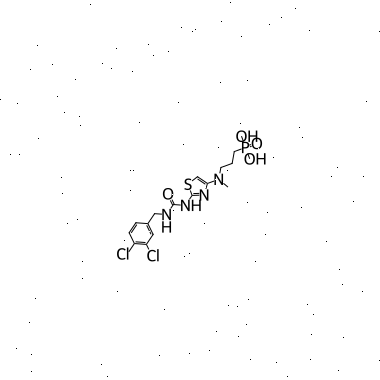 CN(CCCP(=O)(O)O)c1csc(NC(=O)NCc2ccc(Cl)c(Cl)c2)n1